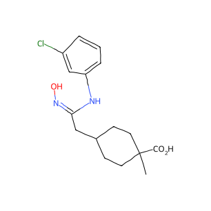 CC1(C(=O)O)CCC(CC(=NO)Nc2cccc(Cl)c2)CC1